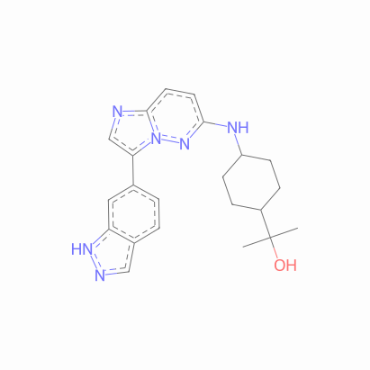 CC(C)(O)C1CCC(Nc2ccc3ncc(-c4ccc5cn[nH]c5c4)n3n2)CC1